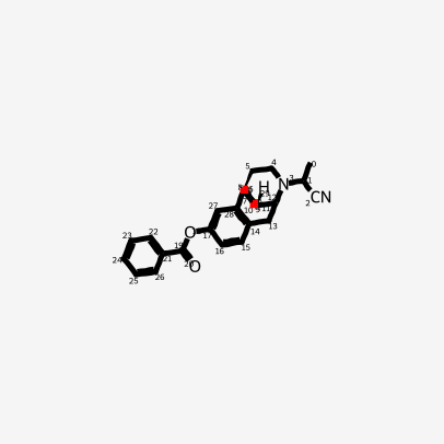 CC(C#N)N1CC[C@]23CCCC[C@H]2C1Cc1ccc(OC(=O)c2ccccc2)cc13